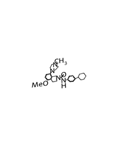 COc1ccc(N2CCN(C)CC2)c2c1CCN(C(=O)Nc1ccc(C3CCCCC3)cc1)C2